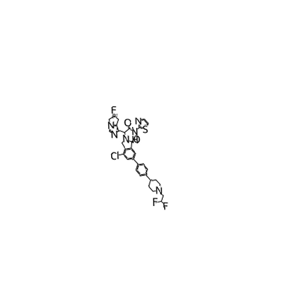 O=C(Nc1nccs1)C(c1ncn2c1C[C@@H](F)C2)N1Cc2c(Cl)cc(-c3ccc(C4CCN(CC(F)F)CC4)cc3)cc2C1=O